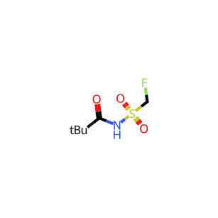 CC(C)(C)C(=O)NS(=O)(=O)CF